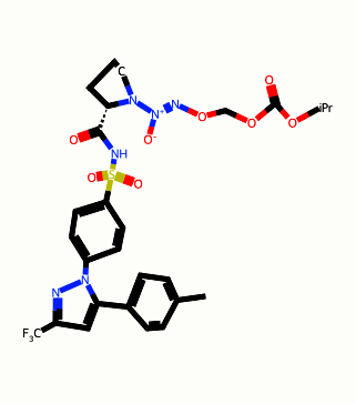 Cc1ccc(-c2cc(C(F)(F)F)nn2-c2ccc(S(=O)(=O)NC(=O)[C@@H]3CCCN3/[N+]([O-])=N/OCOC(=O)OC(C)C)cc2)cc1